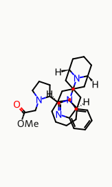 COC(=O)CN1CCCC1c1nc2ccccc2n1C1C[C@H]2CCC[C@@H](C1)N2C1C[C@H]2CCCC[C@@H](C1)C2